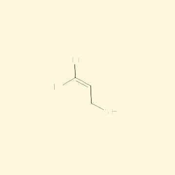 CCC(=CC[SiH3])CC